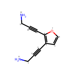 NCC#Cc1ccoc1C#CCN